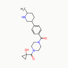 CC1CCC(c2ccc(C(=O)N3CCN(C(=O)C4(O)CC4)CC3)cc2)CN1